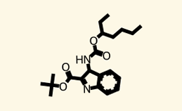 CCCCC(CC)OC(=O)NC1C(C(=O)OC(C)(C)C)=Nc2ccccc21